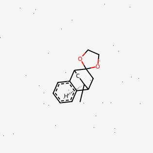 C[C@H]1CC2c3ccccc3C1CC21OCCO1